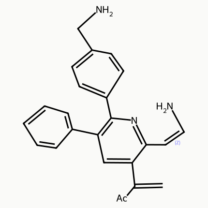 C=C(C(C)=O)c1cc(-c2ccccc2)c(-c2ccc(CN)cc2)nc1/C=C\N